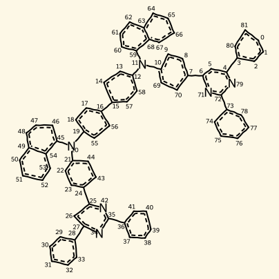 c1ccc(-c2cc(-c3ccc(N(c4ccc(-c5ccc(N(c6ccc(-c7cc(-c8ccccc8)nc(-c8ccccc8)n7)cc6)c6cccc7ccccc67)cc5)cc4)c4cccc5ccccc45)cc3)nc(-c3ccccc3)n2)cc1